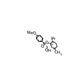 COc1ccc([P@](=O)(CO)O[C@@H]2C[C@H](C)CC[C@H]2C(C)C)cc1